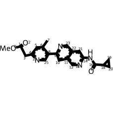 COC(=O)Cc1cc(C)c(-c2cc3cnc(NC(=O)C4CC4)cc3cn2)cn1